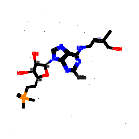 C=P(C)(C)CC[C@H]1O[C@@H](n2cnc3c(NC/C=C(/C)CO)nc(SC)nc32)[C@H](O)[C@@H]1O